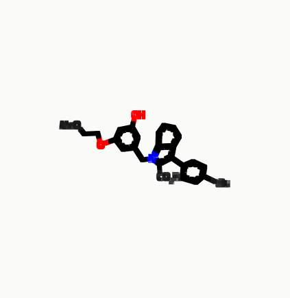 CCOC(=O)c1c(-c2ccc(C(C)(C)C)cc2)c2ccccc2n1Cc1cc(O)cc(OCCOC)c1